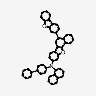 c1ccc(-c2ccc(N(c3ccc4c(c3)oc3c5ccccc5c(-c5ccc6c(c5)oc5ccccc56)cc43)c3cccc4ccccc34)cc2)cc1